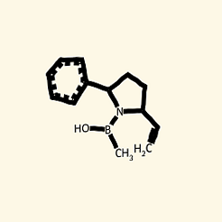 C=CC1CCC(c2ccccc2)N1B(C)O